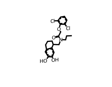 CCCN(CC1CCCc2cc(O)c(O)cc21)C(=O)COc1c(Cl)cccc1Cl